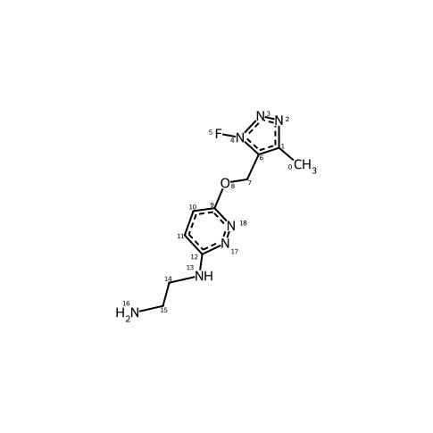 Cc1nnn(F)c1COc1ccc(NCCN)nn1